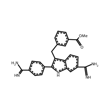 COC(=O)c1cccc(Cc2c(-c3ccc(C(=N)N)cc3)[nH]c3cc(C(=N)N)ccc23)c1